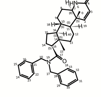 C[C@]12C=CC(=O)N[C@@H]1CC[C@@H]1[C@@H]2CC[C@]2(C)[C@@H](C(=O)N(Cc3ccccc3)Cc3ccccc3)CC[C@@H]12